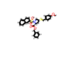 COc1ccc(CS[C@@H]2C[C@@H](C(=O)OCc3ccccc3)N(S(=O)(=O)c3ccc4ccccc4c3)C2)cc1